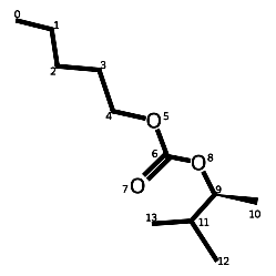 CCCCCOC(=O)O[C@@H](C)C(C)C